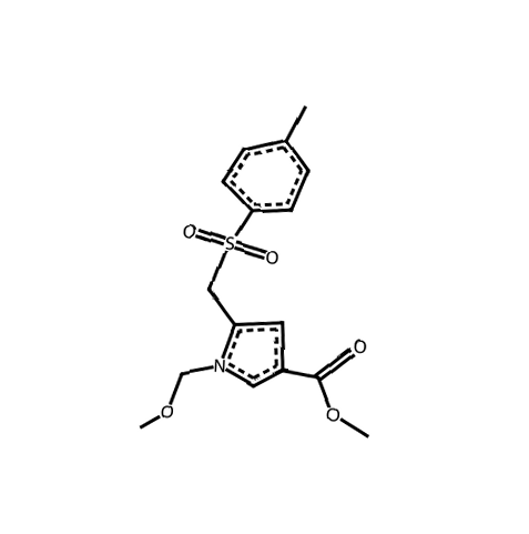 COCn1cc(C(=O)OC)cc1CS(=O)(=O)c1ccc(C)cc1